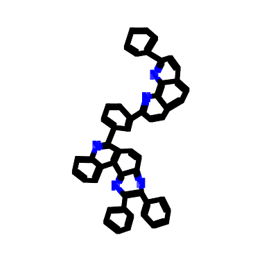 c1ccc(-c2ccc3ccc4ccc(-c5cccc(-c6nc7ccccc7c7c6ccc6nc(-c8ccccc8)c(-c8ccccc8)nc67)c5)nc4c3n2)cc1